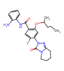 CCCC(C)Oc1cc(-n2nc3n(c2=O)CCCC3)c(F)cc1C(=O)Nc1ccccc1N